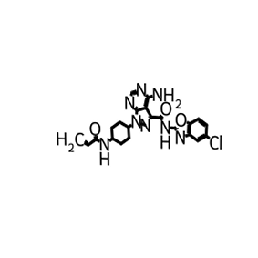 C=CC(=O)NC1CCC(n2nc(C(=O)Nc3nc4cc(Cl)ccc4o3)c3c(N)ncnc32)CC1